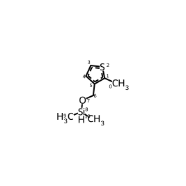 Cc1sccc1CO[SiH](C)C